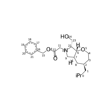 CC(C)C[C@@H]1CCO[C@@H]2[C@@H](C1)CN(CC(=O)OCc1ccccc1)[C@@H]2CO